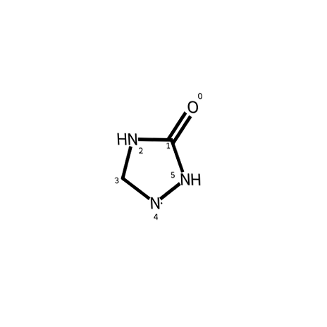 O=C1NC[N]N1